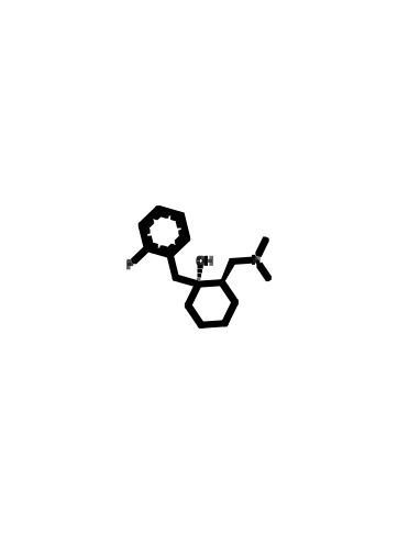 CN(C)C[C@H]1CCCC[C@@]1(O)Cc1ccccc1F